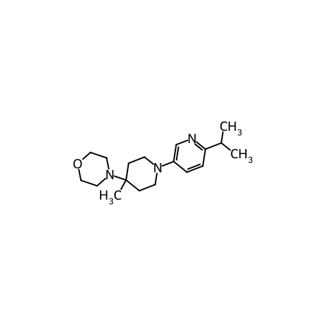 CC(C)c1ccc(N2CCC(C)(N3CCOCC3)CC2)cn1